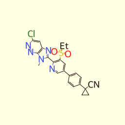 CCS(=O)(=O)c1cc(-c2ccc(C3(C#N)CC3)cc2)cnc1-c1nc2cc(Cl)nnc2n1C